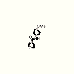 CON1CCN(NC(=O)N2CCOCC2)CC1